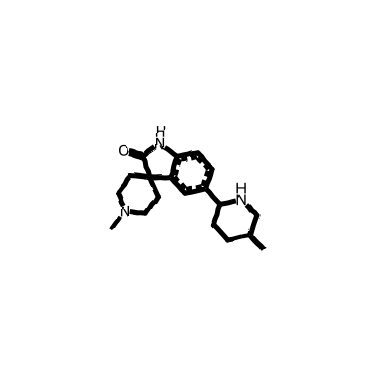 CC1CCC(c2ccc3c(c2)C2(CCN(C)CC2)C(=O)N3)NC1